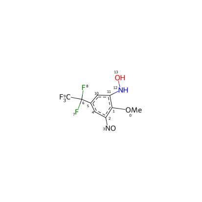 COc1c(N=O)cc(C(F)(F)C(F)(F)F)cc1NO